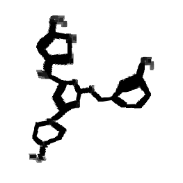 Cc1cccc(CSc2nc(Nc3cc(C)[nH]n3)cc(N3CCN(C)CC3)n2)c1